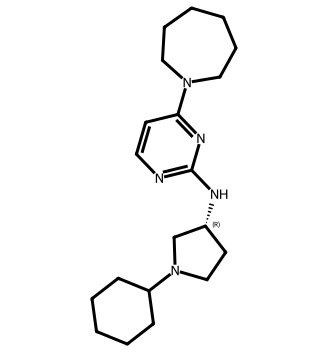 c1cc(N2CCCCCC2)nc(N[C@@H]2CCN(C3CCCCC3)C2)n1